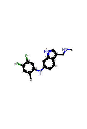 CNCc1c[nH]c2cc(Nc3cc(F)c(F)cc3C)ccc12